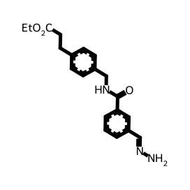 CCOC(=O)CCc1ccc(CNC(=O)c2cccc(C=NN)c2)cc1